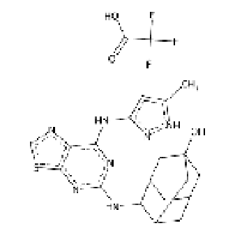 Cc1cc(Nc2nc(NC3C4CC5CC3CC(O)(C5)C4)nc3scnc23)n[nH]1.O=C(O)C(F)(F)F